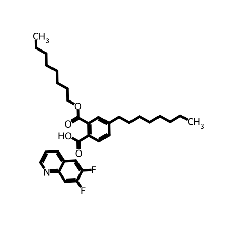 CCCCCCCCOC(=O)c1cc(CCCCCCCC)ccc1C(=O)O.Fc1cc2cccnc2cc1F